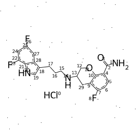 Cl.NC(=O)c1ccc(F)c2c1OCC(NCCCc1c[nH]c3c(F)cc(F)cc13)C2